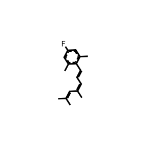 CC(C)=C/C(C)=C\C=C\c1c(C)cc(F)cc1C